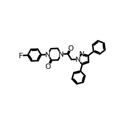 O=C(Cn1nc(-c2ccccc2)cc1-c1ccccc1)N1CCN(c2ccc(F)cc2)C(=O)C1